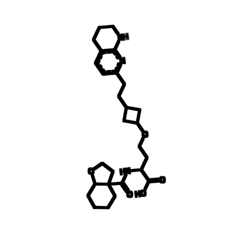 O=C(O)C(CCOC1CC(CCc2ccc3c(n2)NCCC3)C1)NC(=O)C12CCCCC1OCC2